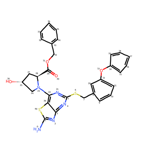 Nc1nc2nc(SCc3cccc(Oc4ccccc4)c3)nc(N3C[C@H](O)C[C@H]3C(=O)OCc3ccccc3)c2s1